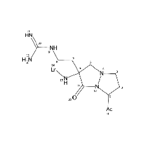 CC(=O)C1CCN2CC(CCNC(=N)N)([NH][Lr])C(=O)N12